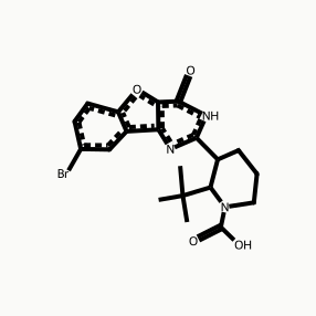 CC(C)(C)C1C(c2nc3c(oc4ccc(Br)cc43)c(=O)[nH]2)CCCN1C(=O)O